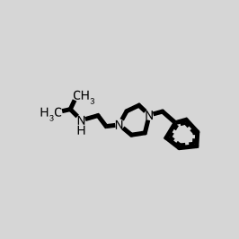 CC(C)NCCN1CCN(Cc2ccccc2)CC1